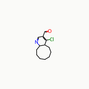 O=CC1=C(Cl)C2CCCCCCCC2N=C1